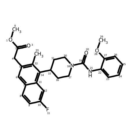 COC(=O)Cc1cc2ccc(F)cc2c(C2CCN(C(=O)Nc3ccccc3OC)CC2)c1C